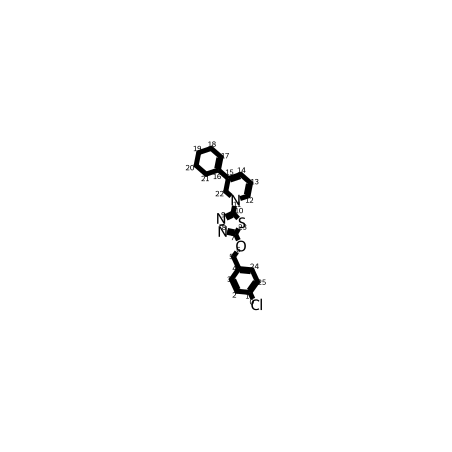 Clc1ccc(COc2nnc(N3C=CC=C(C4=CCCCC4)C3)s2)cc1